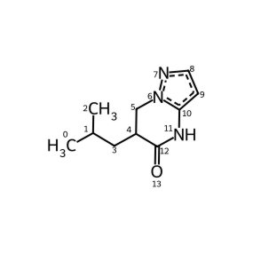 CC(C)CC1Cn2nccc2NC1=O